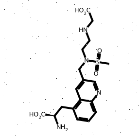 CS(=O)(=O)N(CCNCC(=O)O)Cc1cnc2cccc(C[C@@H](N)C(=O)O)c2c1